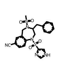 CS(=O)(=O)N1Cc2cc(C#N)ccc2N(S(=O)(=O)c2c[nH]cn2)CC1Cc1ccccc1